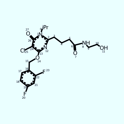 CC(C)n1c(CCCC(=O)NCCO)nc(OCc2ccc(F)cc2F)c(Cl)c1=O